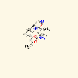 C=CC[C@H](OC(N)=O)c1cccc(CC(CC#N)NC(=O)C(C)C=C)c1